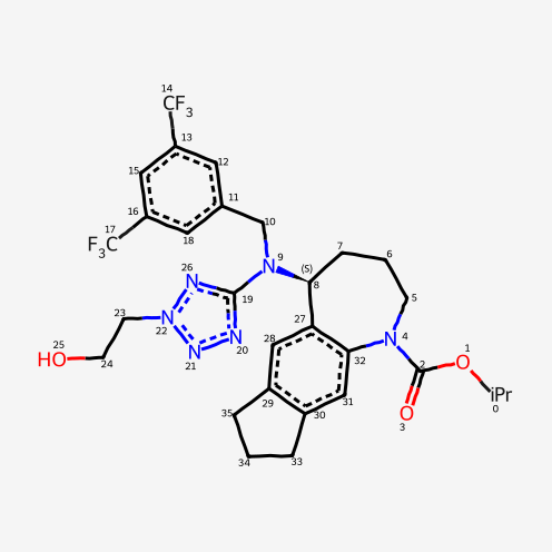 CC(C)OC(=O)N1CCC[C@H](N(Cc2cc(C(F)(F)F)cc(C(F)(F)F)c2)c2nnn(CCO)n2)c2cc3c(cc21)CCC3